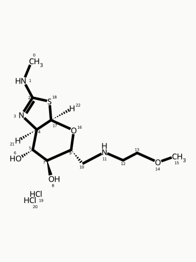 CNC1=N[C@@H]2[C@@H](O)[C@H](O)[C@@H](CNCCOC)O[C@@H]2S1.Cl.Cl